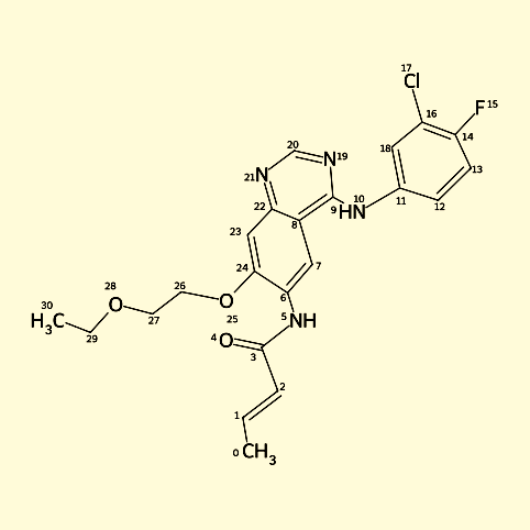 C/C=C/C(=O)Nc1cc2c(Nc3ccc(F)c(Cl)c3)ncnc2cc1OCCOCC